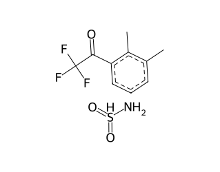 Cc1cccc(C(=O)C(F)(F)F)c1C.N[SH](=O)=O